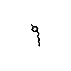 C=C/C=C/CCc1ccc(C)cc1